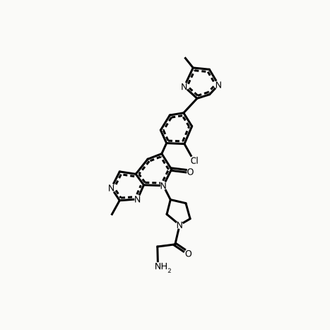 Cc1cncc(-c2ccc(-c3cc4cnc(C)nc4n(C4CCN(C(=O)CN)C4)c3=O)c(Cl)c2)n1